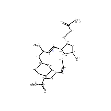 CCCCCC(/C=C/[C@H]1[C@H](COC(=O)C(Cl)(Cl)Cl)CC(O)[C@@H]1C/C=C\CCCC(=O)OC)OC1CCCCO1